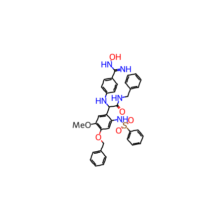 COc1cc(C(Nc2ccc(C(=N)NO)cc2)C(=O)NCc2ccccc2)c(NS(=O)(=O)c2ccccc2)cc1OCc1ccccc1